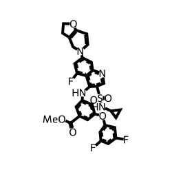 COC(=O)c1cc(Nc2c(S(=O)(=O)NC3CC3)cnc3cc(N4C=CC5=C(CCO5)C4)cc(F)c23)cc(Oc2cc(F)cc(F)c2)c1